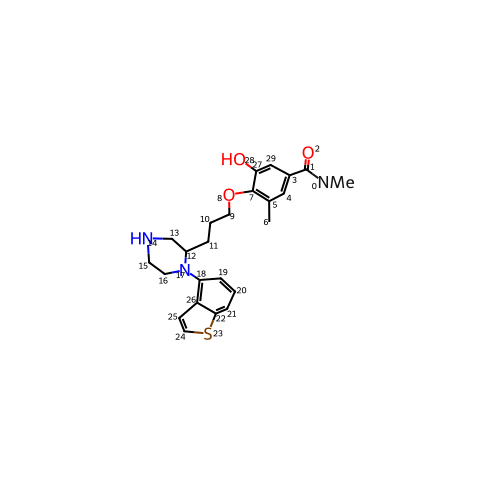 CNC(=O)c1cc(C)c(OCCCC2CNCCN2c2cccc3sccc23)c(O)c1